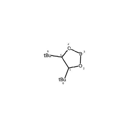 CC(C)(C)C1O[B]OC1C(C)(C)C